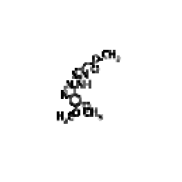 CCOC(=O)Cc1csc(Nc2ncnc3cc(OC)c(OC)cc23)n1